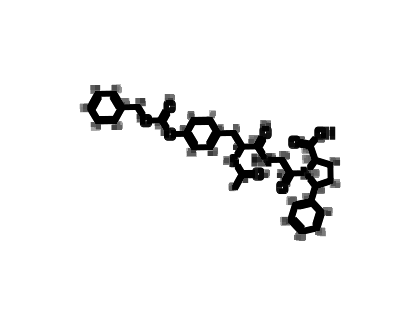 CC(=O)SC(Cc1ccc(OC(=O)OCc2ccccc2)cc1)C(=O)NCC(=O)N1C(C(=O)O)CCC1c1ccccc1